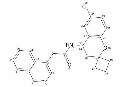 O=C(Cc1cccc2ccccc12)N[C@H]1CC2(CCC2)Oc2ccc(Cl)cc21